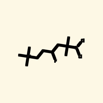 CC(C)(CC(F)CC[N+](C)(C)C)N(Cl)Cl